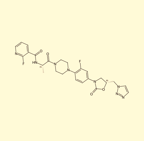 C[C@H](NC(=O)c1cccnc1F)C(=O)N1CCN(c2ccc(N3C[C@H](Cn4ccnn4)OC3=O)cc2F)CC1